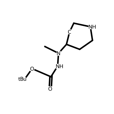 CN(NC(=O)OC(C)(C)C)C1CCNCC1